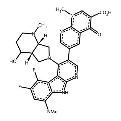 CNc1cc(F)c(F)c2c1[nH]c1ncc(-c3cnc4c(c3)c(=O)c(C(=O)O)cn4C)c(N3C[C@@H]4C(O)CCN(C)[C@@H]4C3)c12